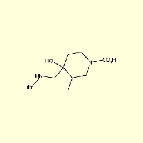 CC(C)NCC1(O)CCN(C(=O)O)CC1C